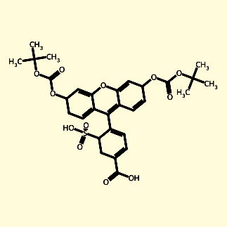 CC(C)(C)OC(=O)OC1C=CC2=C(C3=CC=C(C(=O)O)CC3S(=O)(=O)O)C3=CCC(OC(=O)OC(C)(C)C)C=C3OC2=C1